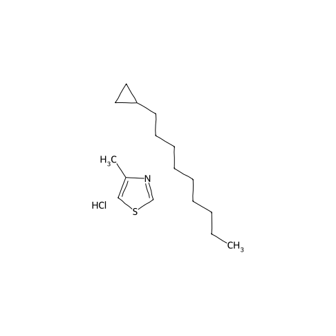 CCCCCCCCCC1CC1.Cc1cscn1.Cl